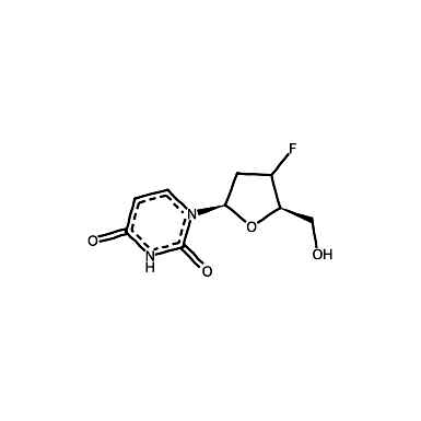 O=c1ccn([C@H]2CC(F)[C@@H](CO)O2)c(=O)[nH]1